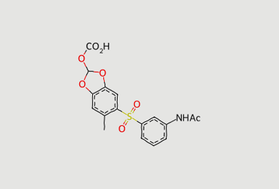 CC(=O)Nc1cccc(S(=O)(=O)c2cc3c(cc2C)OC(OC(=O)O)O3)c1